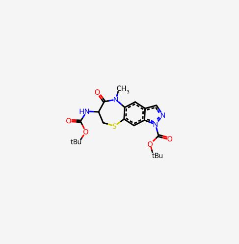 CN1C(=O)C(NC(=O)OC(C)(C)C)CSc2cc3c(cnn3C(=O)OC(C)(C)C)cc21